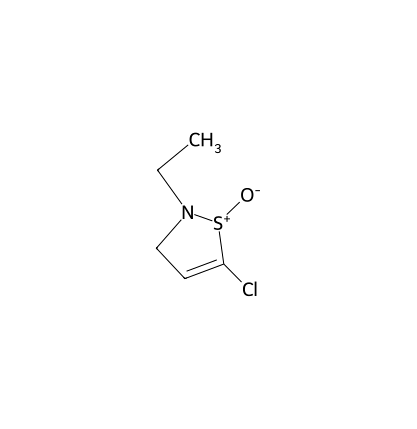 CCN1CC=C(Cl)[S+]1[O-]